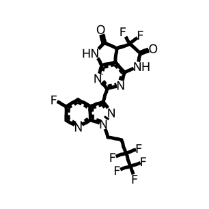 CC12C(=O)Nc3nc(-c4nn(CCC(F)(F)C(F)(F)F)c5ncc(F)cc45)nc(c31)NC(=O)C2(F)F